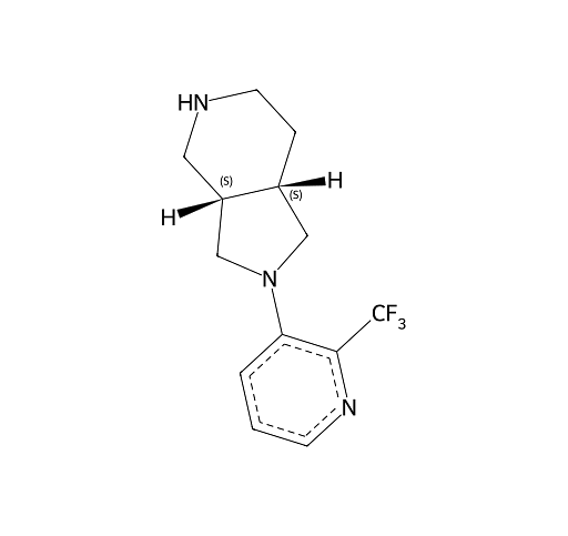 FC(F)(F)c1ncccc1N1C[C@H]2CCNC[C@H]2C1